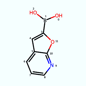 OB(O)c1cc2cccnc2o1